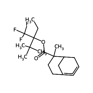 CCC(OC(=O)C1(C)CCC2=C=CCC1C2)(C(C)(C)C)C(F)(F)F